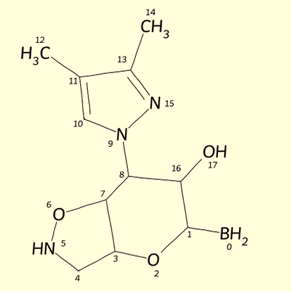 BC1OC2CNOC2C(n2cc(C)c(C)n2)C1O